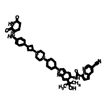 CC(C)(O)c1cc2nn(C3CCC(N4CCN(C5CC(c6ccc(N[C@H]7CCC(=O)NC7=O)cc6)C5)CC4)CC3)cc2cc1NC(=O)c1ccc2cc(C#N)cnn12